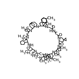 CCCC1C(=O)NC(C2CCCC2)C(=O)N(C)CC(=O)N(C)C2CC=CCCN(C2=O)C(Cc2ccc(C)cc2)C(=O)N(C)CC(=O)NCC(=O)N2CC3(CC3)CC2C(=O)N(C)C2(CCC2)C(=O)N(C)C(CC(C)(C)C)C(=O)N(C)C(C(=O)N(C)C)CC(=O)N1C